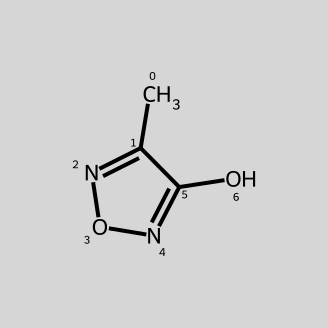 Cc1nonc1O